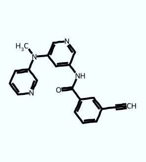 C#Cc1cccc(C(=O)Nc2cncc(N(C)c3cccnc3)c2)c1